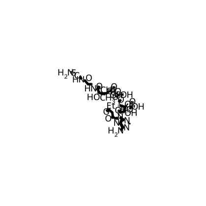 CCC(=O)CC(=O)c1nc2c(N)ncnc2n1[C@@H]1O[C@H](COP(=O)(O)OP(=O)(O)OCC(C)(C)[C@@H](O)C(=O)NCCC(=O)NCCSN)[C@@H](OP(=O)(O)O)[C@H]1O